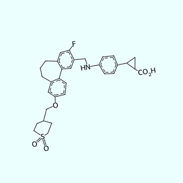 O=C(O)C1CC1c1ccc(NCc2cc3c(cc2F)CCCc2cc(OCC4CCS(=O)(=O)CC4)ccc2-3)cc1